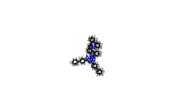 c1ccc(-c2ccc(-c3cc(-c4ccc(-c5ccccc5)cc4)nc(-n4c5ccccc5c5c4ccc4cc6c7ccccc7c7ccccc7n6c45)n3)cc2)cc1